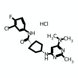 Cc1nc(N[C@H]2CC[C@@H](C(=O)Nc3ccc(F)c(Cl)c3)CC2)cc(N(C)C)n1.Cl